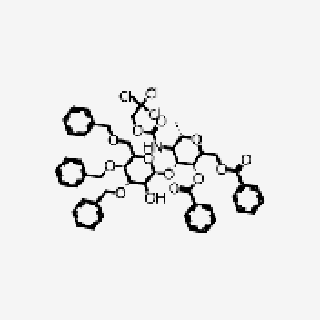 C[C@@H]1OC(COC(=O)c2ccccc2)[C@H](OC(=O)c2ccccc2)[C@H](O[C@@H]2OC(COCc3ccccc3)[C@H](OCc3ccccc3)[C@@H](OCc3ccccc3)C2O)C1NC(=O)OCC(Cl)(Cl)Cl